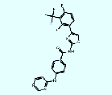 O=C(Nc1nc(-c2ccc(F)c(C(F)(F)F)c2F)cs1)c1ccc(Nc2ccncn2)cc1